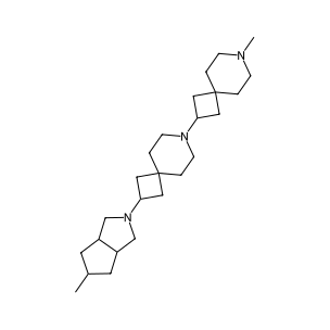 CC1CC2CN(C3CC4(CCN(C5CC6(CCN(C)CC6)C5)CC4)C3)CC2C1